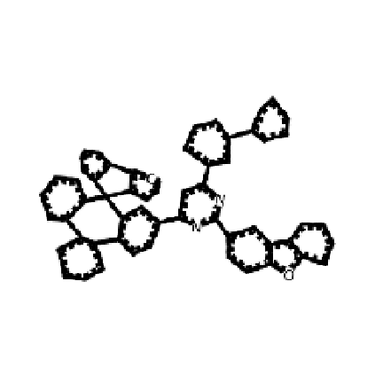 c1ccc(-c2cccc(-c3cc(-c4ccc5c(c4)C4(c6ccccc6-c6ccccc6-5)c5ccccc5-c5ccccc54)nc(-c4ccc5oc6ccccc6c5c4)n3)c2)cc1